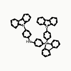 c1ccc2c(c1)-c1ccccc1[N+]2(c1ccc(Nc2ccc(-n3c4ccccc4c4ccccc43)cc2)cc1)c1ccc(-n2c3ccccc3c3ccccc32)cc1